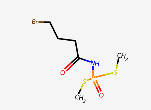 CSP(=O)(NC(=O)CCCBr)SC